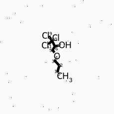 CCCCOCC(O)C(Cl)(Cl)Cl